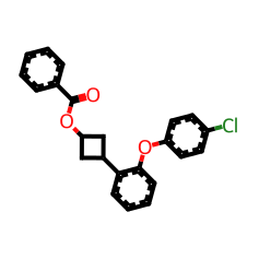 O=C(OC1CC(c2ccccc2Oc2ccc(Cl)cc2)C1)c1ccccc1